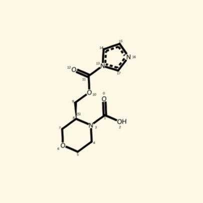 O=C(O)N1CCOC[C@H]1COC(=O)n1ccnc1